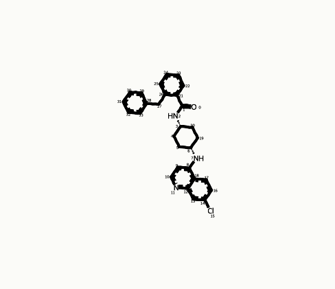 O=C(N[C@H]1CC[C@@H](Nc2ccnc3cc(Cl)ccc23)CC1)c1ccccc1Cc1ccccc1